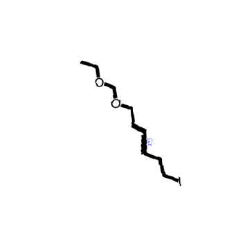 CCOCOCC/C=C/CCI